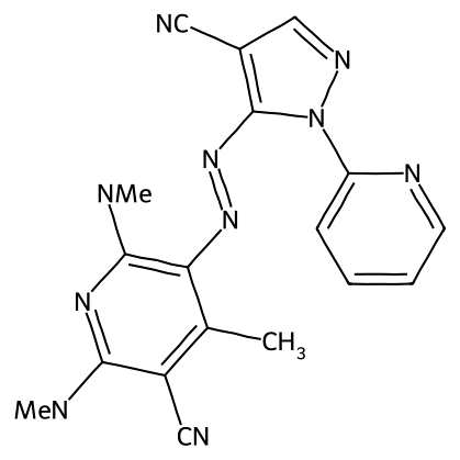 CNc1nc(NC)c(/N=N/c2c(C#N)cnn2-c2ccccn2)c(C)c1C#N